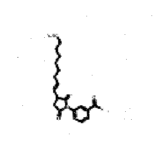 CCCCCCCCCCCCCCCCC=CC1CC(=O)N(c2cccc(C(N)=O)c2)C1=O